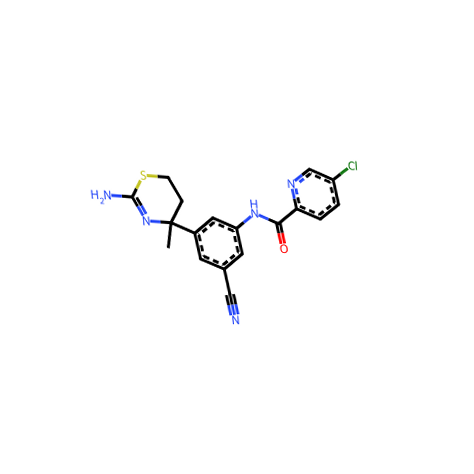 CC1(c2cc(C#N)cc(NC(=O)c3ccc(Cl)cn3)c2)CCSC(N)=N1